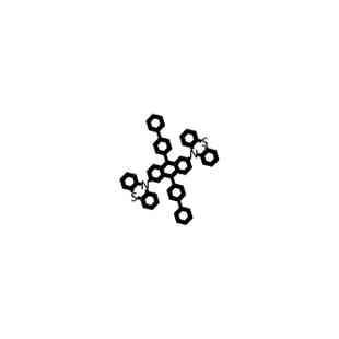 c1ccc(-c2ccc(-c3c4ccc(N5c6ccccc6Sc6ccccc65)cc4c(-c4ccc(-c5ccccc5)cc4)c4ccc(N5c6ccccc6Sc6ccccc65)cc34)cc2)cc1